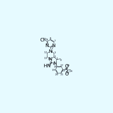 CC1C2CN(c3nccc(Cl)n3)CCN2C(=N)N1c1cccc(S(C)(=O)=O)c1